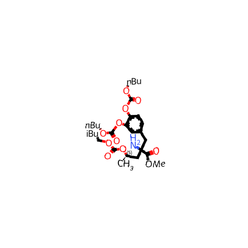 CCCCOC(=O)Oc1ccc(CC(N)(C[C@H](C)OC(=O)OCC(C)CC)C(=O)OC)cc1OC(=O)OCCCC